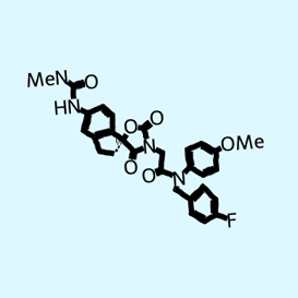 CNC(=O)Nc1ccc2c(c1)CC[C@@]21OC(=O)N(CC(=O)N(Cc2ccc(F)cc2)c2ccc(OC)cc2)C1=O